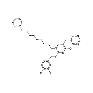 O=c1nc(SCc2ccc(F)c(F)c2)n(CCCCCCCCCc2ccccc2)cc1Cc1cncnc1